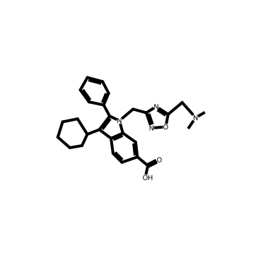 CN(C)Cc1nc(Cn2c(-c3ccccc3)c(C3CCCCC3)c3ccc(C(=O)O)cc32)no1